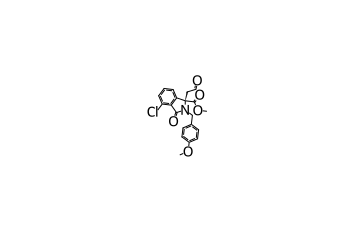 COC(=O)[C@@]1(CC=O)c2cccc(Cl)c2C(=O)N1Cc1ccc(OC)cc1